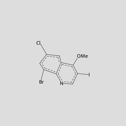 COc1c(I)cnc2c(Br)cc(Cl)cc12